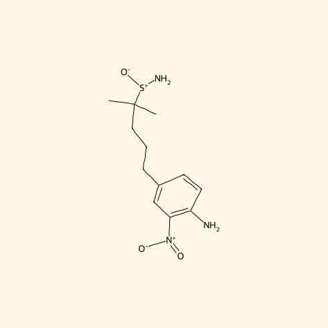 CC(C)(CCCc1ccc(N)c([N+](=O)[O-])c1)[S+](N)[O-]